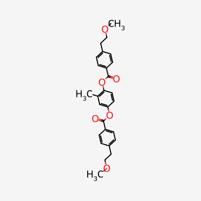 COCCc1ccc(C(=O)Oc2ccc(OC(=O)c3ccc(CCOC)cc3)c(C)c2)cc1